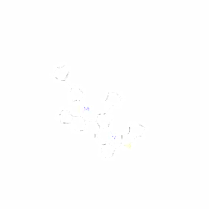 B1c2c(-c3ccc4ccccc4c3Nc3ccc(-c4ccccc4)cc3)cc(-c3ccccc3)cc2-n2c3c1cccc3c1sc3ccccc3c12